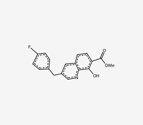 COC(=O)c1ccc2cc(Cc3ccc(F)cc3)cnc2c1O